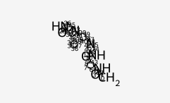 C=CC(=O)Nc1cccc(C(=O)NC2CCN(CC3=CCC(c4nc5cc[nH]c(=O)c5cc4C4C=CC=CC4)C=C3)CC2)c1